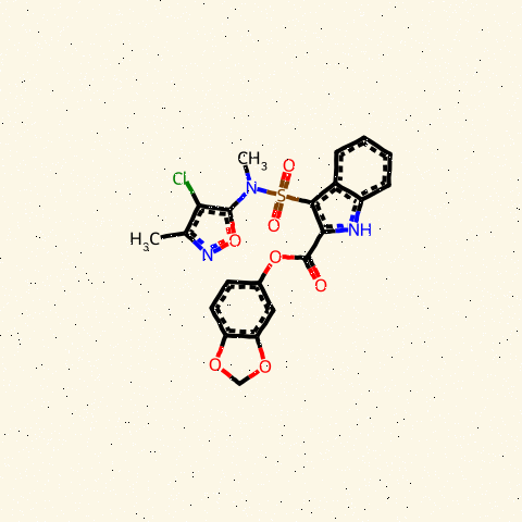 Cc1noc(N(C)S(=O)(=O)c2c(C(=O)Oc3ccc4c(c3)OCO4)[nH]c3ccccc23)c1Cl